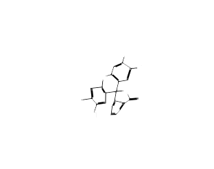 O=C1OC2(c3cc(Cl)c(O)cc3Oc3cc(O)c(Cl)cc32)c2ccccc21